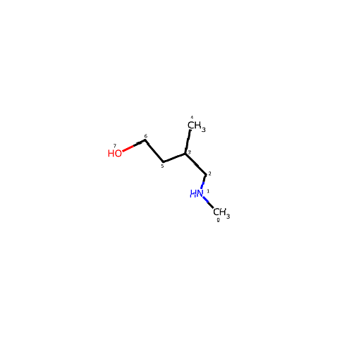 CNCC(C)CCO